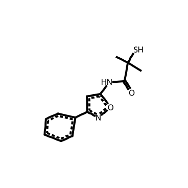 CC(C)(S)C(=O)Nc1cc(-c2ccccc2)no1